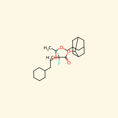 CC(OCCC1CCCCC1)OCC12CC3CC(C1)C(OC(=O)C(C)(F)F)C(C3)C2